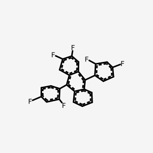 Fc1ccc(-c2c3ccccc3c(-c3ccc(F)cc3F)c3cc(F)c(F)cc23)c(F)c1